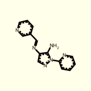 Nc1c(N=Cc2cccnc2)cnn1-c1ccccn1